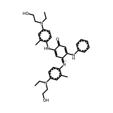 CCN(CCO)c1ccc(/N=C2\C=C(Nc3ccc(N(CC)CCO)cc3C)C(=O)C=C2Nc2ccccc2)c(C)c1